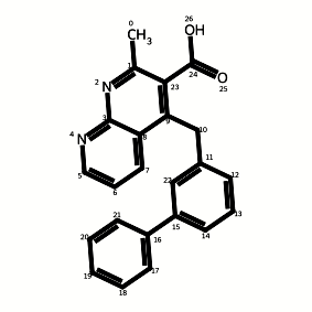 Cc1nc2ncccc2c(Cc2cccc(-c3ccccc3)c2)c1C(=O)O